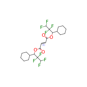 O=C(/C=C/C(=O)OC(C1CCCCC1)C(F)(F)C(F)F)OC(C1CCCCC1)C(F)(F)C(F)F